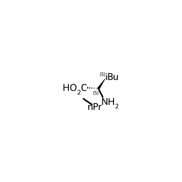 CCCC.CC[C@H](C)[C@H](N)C(=O)O